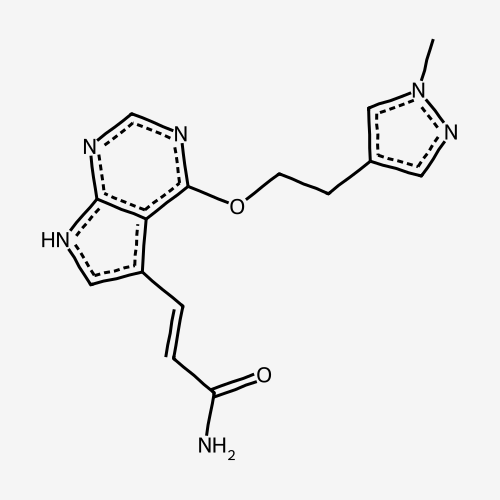 Cn1cc(CCOc2ncnc3[nH]cc(C=CC(N)=O)c23)cn1